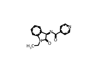 CCN1C(=O)/C(=N\C(=O)c2ccncc2)c2ccccc21